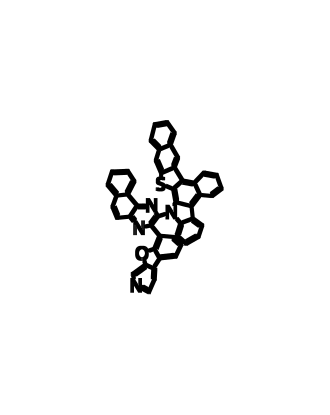 c1ccc2cc3c(cc2c1)sc1c3c2ccccc2c2c3ccccc3n(-c3nc4c(ccc5ccccc54)nc3-c3cccc4c3oc3cnccc34)c12